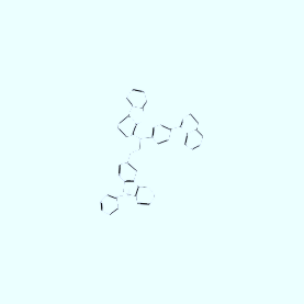 C1=Cc2c(c3cc(CCC(c4ccc(-c5cccc6ccccc56)cc4)c4cccc5c4oc4ccccc45)ccc3n2-c2ccccc2)CC1